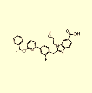 COCCn1c(Cc2ccc(-c3cccc(O[C@H](C)c4ccccc4)n3)cc2F)nc2ccc(C(=O)O)cc21